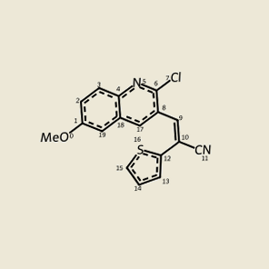 COc1ccc2nc(Cl)c(/C=C(/C#N)c3cccs3)cc2c1